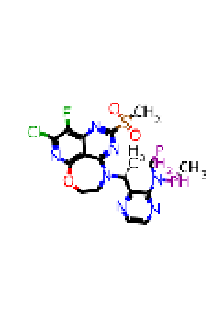 CPN(CP)c1nccnc1[C@@H](C)N1CCOc2nc(Cl)c(F)c3nc(S(C)(=O)=O)nc1c23